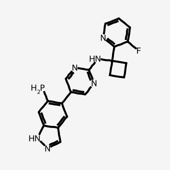 Fc1cccnc1C1(Nc2ncc(-c3cc4cn[nH]c4cc3P)cn2)CCC1